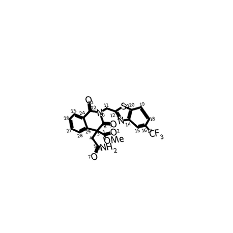 COC(=O)C1(CC(N)=O)C(=O)N(Cc2nc3cc(C(F)(F)F)ccc3s2)C(=O)c2ccccc21